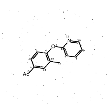 CC(=O)c1ccc(Oc2ccccn2)c(C)c1